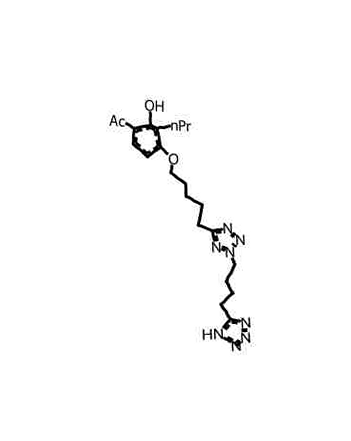 CCCc1c(OCCCCCc2nnn(CCCCc3nnn[nH]3)n2)ccc(C(C)=O)c1O